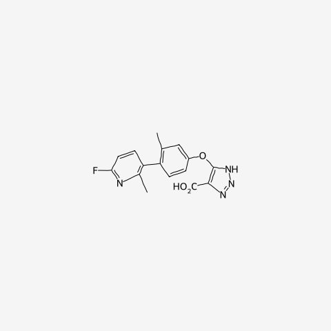 Cc1cc(Oc2[nH]nnc2C(=O)O)ccc1-c1ccc(F)nc1C